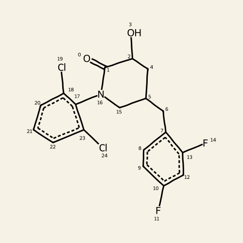 O=C1C(O)CC(Cc2ccc(F)cc2F)CN1c1c(Cl)cccc1Cl